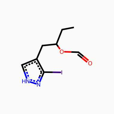 CCC(Cc1c[nH]nc1I)OC=O